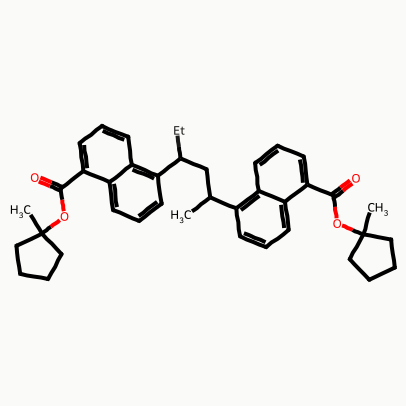 CCC(CC(C)c1cccc2c(C(=O)OC3(C)CCCC3)cccc12)c1cccc2c(C(=O)OC3(C)CCCC3)cccc12